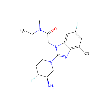 CN(CC(F)(F)F)C(=O)Cn1c(N2CC[C@@H](F)[C@H](N)C2)nc2c(C#N)cc(F)cc21